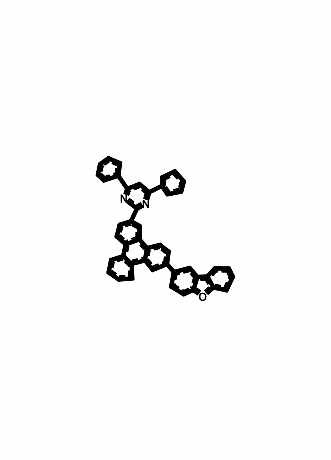 c1ccc(-c2cc(-c3ccccc3)nc(-c3ccc4c5ccccc5c5cc(-c6ccc7oc8ccccc8c7c6)ccc5c4c3)n2)cc1